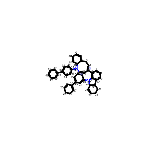 C1=CC2C/C=C(c3cccc4c3N(C3=CC(C5=CCCC=C5)=CCC3)C3C=CCCC43)\C=C/N(c3ccc(-c4ccccc4)cc3)C2C=C1